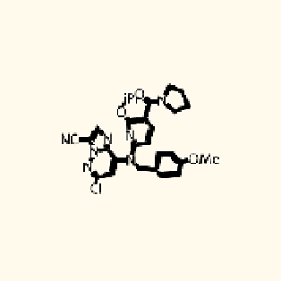 COc1ccc(CN(c2ccc(C(=O)N3CCCC3)c(OC(C)C)n2)c2cc(Cl)nn3c(C#N)cnc23)cc1